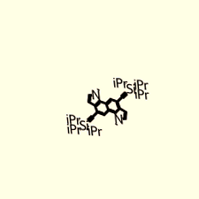 CC(C)[Si](C#Cc1cc2c(cc(C#C[Si](C(C)C)(C(C)C)C(C)C)c3ccn(C)c32)c2c1ccn2C)(C(C)C)C(C)C